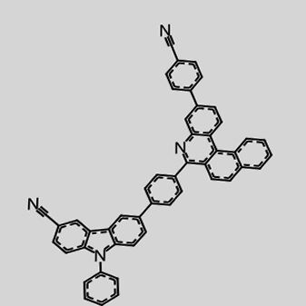 N#Cc1ccc(-c2ccc3c(c2)nc(-c2ccc(-c4ccc5c(c4)c4cc(C#N)ccc4n5-c4ccccc4)cc2)c2ccc4ccccc4c23)cc1